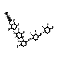 F.F.F.F.F.Fc1ccc(F)c([S])c1F.Fc1ccc(F)c([S])c1F.Fc1ccc(F)c([S])c1F.Fc1ccc(F)c([S])c1F.Fc1ccc(F)c([S])c1F